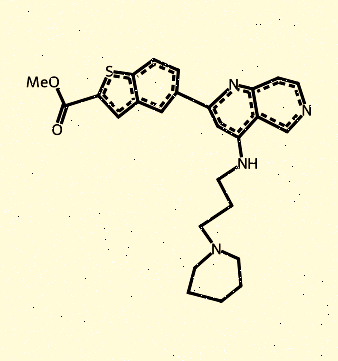 COC(=O)c1cc2cc(-c3cc(NCCCN4CCCCC4)c4cnccc4n3)ccc2s1